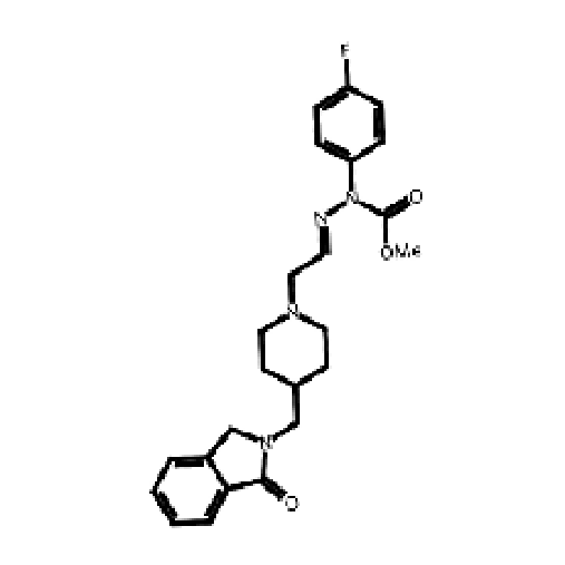 COC(=O)N(/N=C/CN1CCC(CN2Cc3ccccc3C2=O)CC1)c1ccc(F)cc1